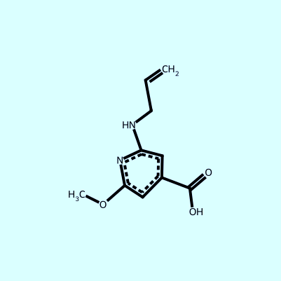 C=CCNc1cc(C(=O)O)cc(OC)n1